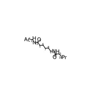 CC(=O)CNC(=O)CCCCCNC(=O)CC(C)C